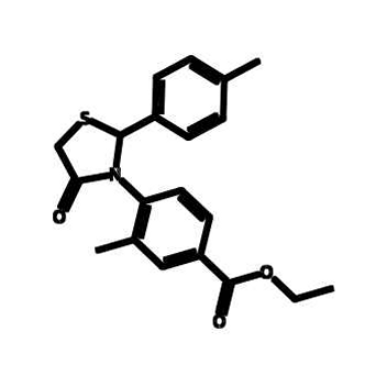 CCOC(=O)c1ccc(N2C(=O)CSC2c2ccc(C)cc2)c(C)c1